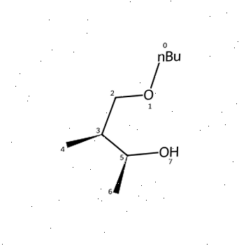 CCCCOC[C@H](C)[C@H](C)O